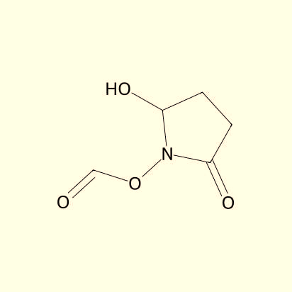 O=CON1C(=O)CCC1O